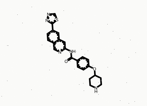 O=C(Nc1cc2cc(-c3nncs3)ccc2cn1)c1ccc(OC2CCNCC2)cc1